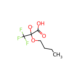 CCCCOC([O])(C(=O)O)C(F)(F)F